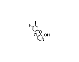 Oc1ncccc1Oc1cc(I)c(F)cc1Cl